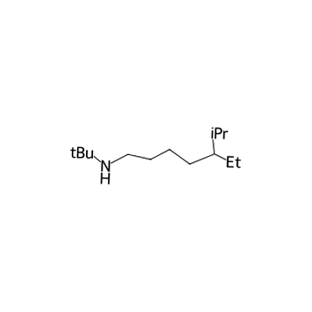 CCC(CCCCNC(C)(C)C)C(C)C